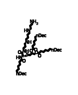 CCCCCCCCCCCCCCCC(=O)N[C@@H](CSCC(COC(=O)CCCCCCCCCCCCCCC)OC(=O)CCCCCCCCCCCCCCC)C(=O)NCCCNCCCCNCCCN